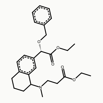 CCOC(=O)CCN(C)C1CCCc2ccc([C@H](OCc3ccccc3)C(=O)OCC)cc21